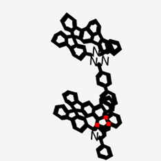 c1ccc(-c2cc(-c3cccc(-c4ccc(-c5ccc(-c6nc(-c7ccccc7)nc(-c7ccc8c(c7)C7(c9ccccc9-8)c8ccccc8-c8c7cc7c9c(cccc89)-c8ccccc8-7)n6)cc5)cc4)c3)cc(-c3ccc4c(c3)C3(c5ccccc5-4)c4ccccc4-c4cc5c6ccccc6c6ccccc6c5cc43)n2)cc1